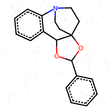 c1ccc(C2OC3c4ccccc4N4CCC3(CC4)O2)cc1